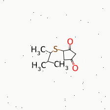 CC(C)C(C)SC1CC(=O)CC1=O